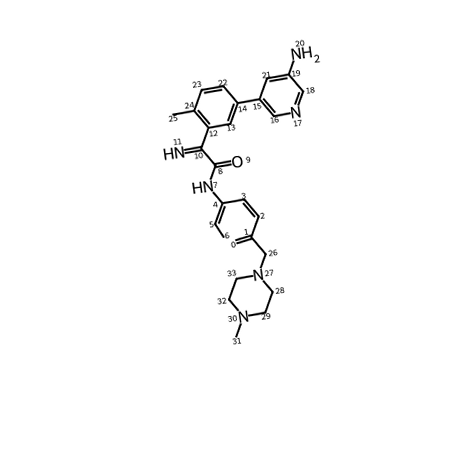 C=C(/C=C\C(=C/C)NC(=O)C(=N)c1cc(-c2cncc(N)c2)ccc1C)CN1CCN(C)CC1